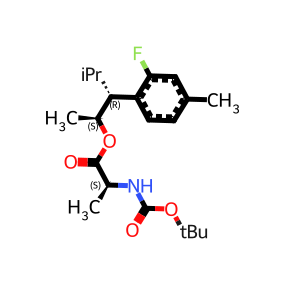 Cc1ccc([C@@H](C(C)C)[C@H](C)OC(=O)[C@H](C)NC(=O)OC(C)(C)C)c(F)c1